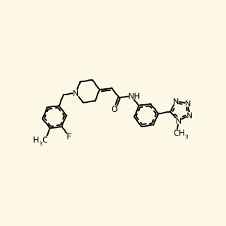 Cc1ccc(CN2CCC(=CC(=O)Nc3cccc(-c4nnnn4C)c3)CC2)cc1F